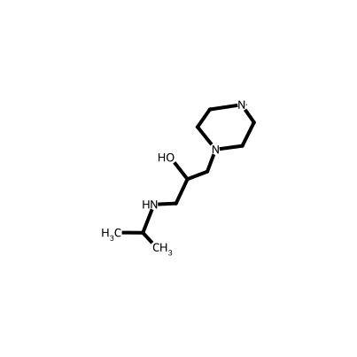 CC(C)NCC(O)CN1CC[N]CC1